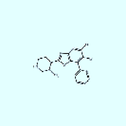 CC1CNCCN1c1nc2cc(Cl)c(Br)c(-c3ccccn3)c2o1